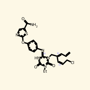 C=C/C=C(\C=C/CCl)Cn1c(=O)n(CC)c(=O)[nH]/c1=N\c1ccc(Oc2ncc(C(N)=O)s2)cc1